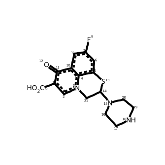 O=C(O)c1cn2c3c(cc(F)cc3c1=O)SC(N1CCNCC1)C2